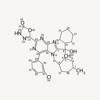 CC1CCC(Cn2c(C(C)(O)C3CCCCC3)nc3nc(-c4n[nH]c(=O)o4)nc(-c4cccc(Cl)c4)c32)CC1